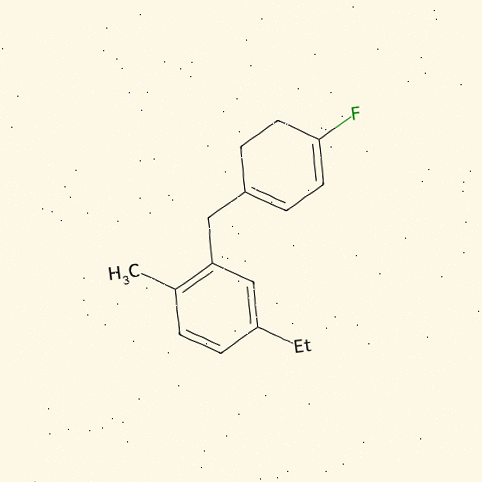 CCc1ccc(C)c(CC2=CC=C(F)CC2)c1